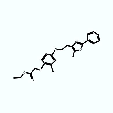 CCOC(=O)COc1ccc(OCCc2nc(-c3ccccc3)oc2C)cc1C